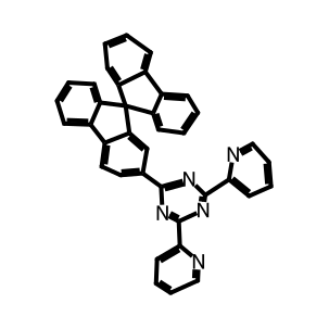 c1ccc(-c2nc(-c3ccc4c(c3)C3(c5ccccc5-c5ccccc53)c3ccccc3-4)nc(-c3ccccn3)n2)nc1